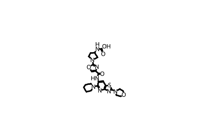 O=C(O)NC1CCN(c2nc(C(=O)Nc3cc4sc(N5CCOCC5)nc4nc3N3CCCCC3)co2)C1